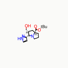 CC(C)(C)OC(=O)[C@@]12CCCN1[C@H](c1cc[nH]n1)[C@H](CO)C2